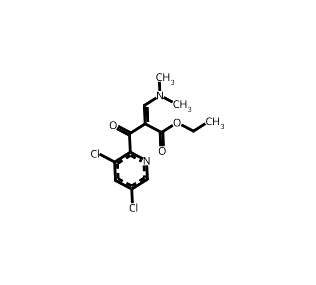 CCOC(=O)C(=CN(C)C)C(=O)c1ncc(Cl)cc1Cl